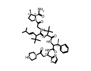 CC(C)/C=C/C(/C(=N/C(C(=O)NC(C(=O)N[C@H](CC(=O)N1CCNCC1)c1nccs1)[C@@H](C)c1ccccc1)C(C)(C)C)NCC(=O)N1CC[C@@H](C)[C@H]1C(N)=O)C(C)(C)C